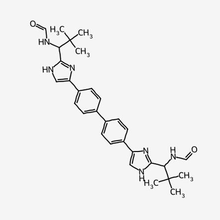 CC(C)(C)C(NC=O)c1nc(-c2ccc(-c3ccc(-c4c[nH]c(C(NC=O)C(C)(C)C)n4)cc3)cc2)c[nH]1